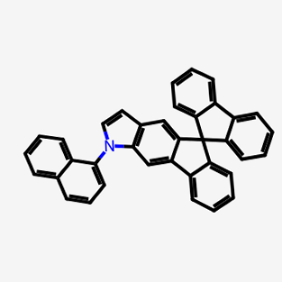 c1ccc2c(c1)-c1ccccc1C21c2ccccc2-c2cc3c(ccn3-c3cccc4ccccc34)cc21